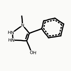 CN1NNC(O)=C1c1ccccc1